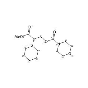 COC(=O)C(COC(=O)N1CCOCC1)C1CCCCC1